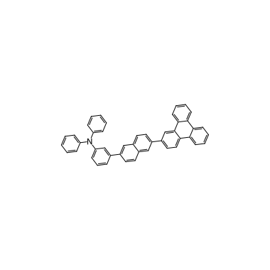 c1ccc(N(c2ccccc2)c2cccc(-c3ccc4cc(-c5ccc6c7ccccc7c7ccccc7c6c5)ccc4c3)c2)cc1